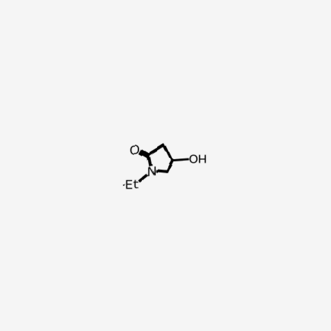 C[CH]N1CC(O)CC1=O